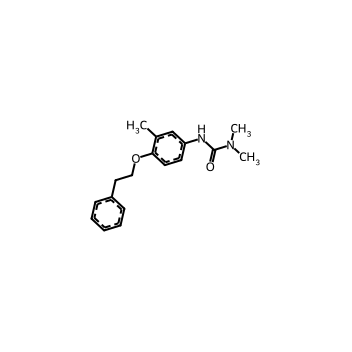 Cc1cc(NC(=O)N(C)C)ccc1OCCc1ccccc1